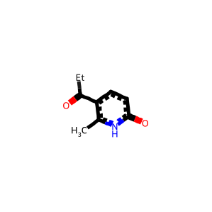 CCC(=O)c1ccc(=O)[nH]c1C